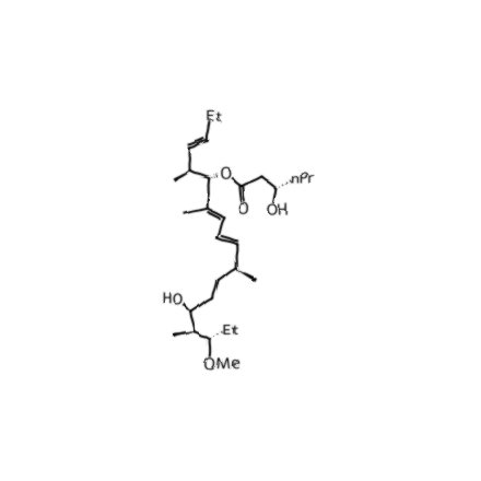 CC/C=C/[C@H](C)[C@H](OC(=O)C[C@@H](O)CCC)/C(C)=C/C=C/[C@@H](C)CC[C@H](O)[C@H](C)[C@H](CC)OC